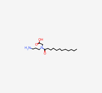 CCCCCCCCCCCC(=O)N(CCCN)CC(=O)O